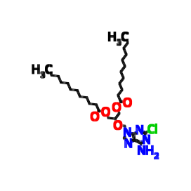 CCCCCCCCCCCC(=O)OCC(COC(=O)CCCCCCCCCCC)OCn1cnc2c(N)nc(Cl)nc21